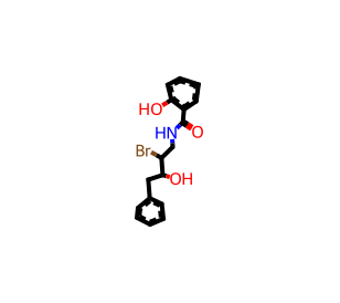 O=C(NCC(Br)C(O)Cc1ccccc1)c1ccccc1O